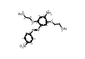 CC(=O)OCCOc1cc(N=Nc2ccc([N+](=O)[O-])cc2)c(OCCOC(C)=O)cc1N